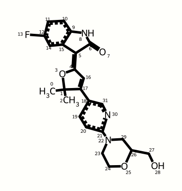 CC1(C)O/C(=C2/C(=O)Nc3ccc(F)cc32)C=C1c1ccc(N2CCOC(CO)C2)nc1